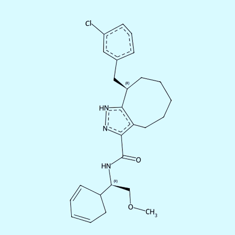 COC[C@H](NC(=O)c1n[nH]c2c1CCCCC[C@@H]2Cc1cccc(Cl)c1)C1C=CC=CC1